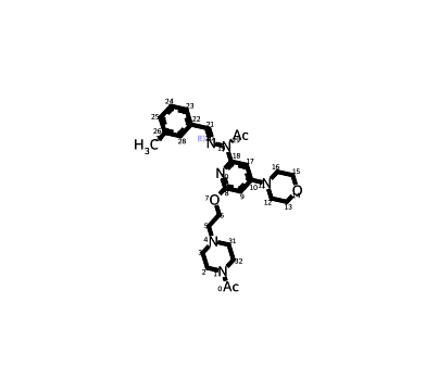 CC(=O)N1CCN(CCOc2cc(N3CCOCC3)cc(N(/N=C/c3cccc(C)c3)C(C)=O)n2)CC1